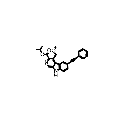 COCc1c(C(=O)OC(C)C)ncc2[nH]c3ccc(C#Cc4ccccc4)cc3c12